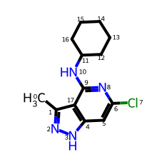 Cc1n[nH]c2cc(Cl)nc(NC3CCCCC3)c12